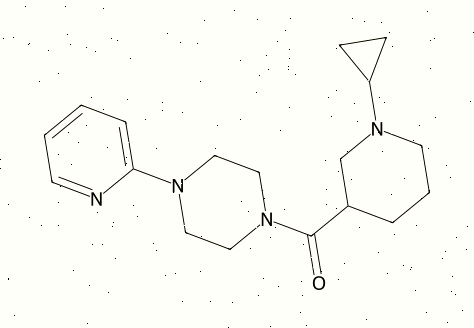 O=C(C1CCCN(C2CC2)C1)N1CCN(c2ccccn2)CC1